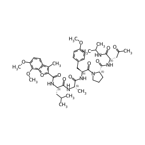 COc1ccc(C[C@H](NC(=O)[C@H](C)NC(=O)[C@H](CC(C)C)NC(=O)c2oc3c(OC)c(OC)ccc3c2C)C(=O)N2CCC[C@H]2C(=O)N[C@@H](CC(C)=O)C(=O)NC(C)C)cc1